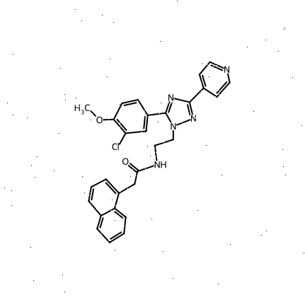 COc1ccc(-c2nc(-c3ccncc3)nn2CCNC(=O)Cc2cccc3ccccc23)cc1Cl